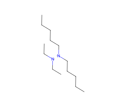 CCCCC[N]CCCCC.CC[N]CC